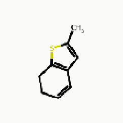 Cc1cc2c(s1)CCC=C2